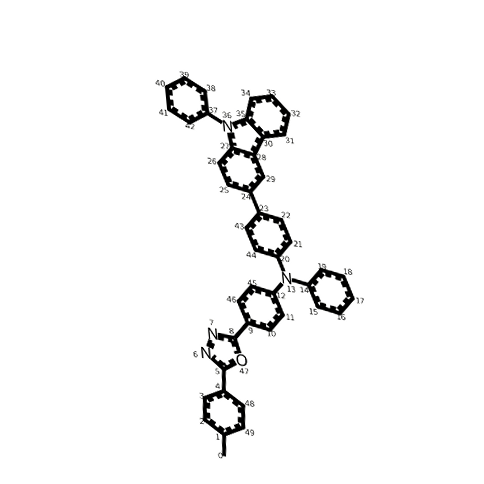 Cc1ccc(-c2nnc(-c3ccc(N(c4ccccc4)c4ccc(-c5ccc6c(c5)c5ccccc5n6-c5ccccc5)cc4)cc3)o2)cc1